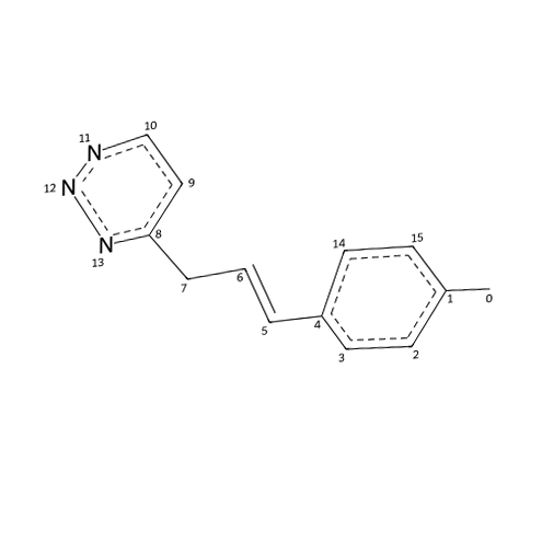 Cc1ccc(C=CCc2ccnnn2)cc1